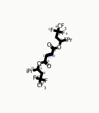 CC(C)C(CC(F)(F)C(F)(F)F)OC(=O)/C=C/C(=O)OC(CC(F)(F)C(F)(F)F)C(C)C